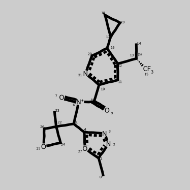 Cc1nnc(C([N+](=O)C(=O)c2cc([C@H](C)C(F)(F)F)c(C3CC3)cn2)C2(C)COC2)o1